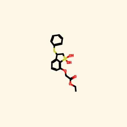 CCOC(=O)COc1cccc2c1S(O)(O)CC2Sc1ccccc1